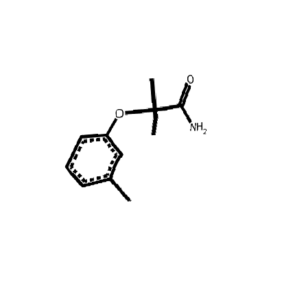 Cc1cccc(OC(C)(C)C(N)=O)c1